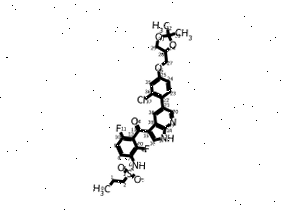 CCCS(=O)(=O)Nc1ccc(F)c(C(=O)c2c[nH]c3ncc(-c4ccc(OCC5COC(C)(C)O5)cc4Cl)cc23)c1F